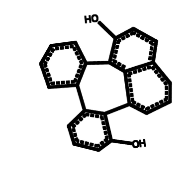 Oc1cccc2c1-c1cccc3ccc(O)c(c13)-c1ccccc1-2